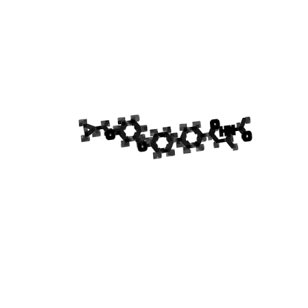 CC(=O)NC(C)CC(=O)c1ccc(-c2ccc(Oc3cccc(OCC4CC4)c3)cc2)cc1